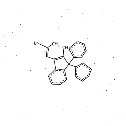 CC1=C(/C=C(\C)Br)c2ccccc2C1(c1ccccc1)c1ccccc1